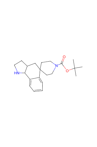 CC(C)(C)OC(=O)N1CCC2(CC1)CC1CCNC1c1ccccc12